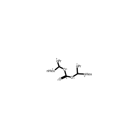 CCCCCCC(CCC)OC(=O)OC(CCC)CCCCCC